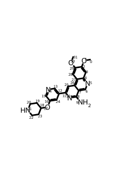 COc1cc2ncc3c(N)nc(-c4cncc(OC5CCNCC5)c4)cc3c2cc1OC